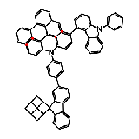 c1ccc(-c2cccc3cccc(-c4ccccc4N(c4ccc(-c5ccc6c(c5)C5(c7ccccc7-6)C6CC7CC8CC5C786)cc4)c4ccc(-c5cccc6c5c5ccccc5n6-c5ccccc5)cc4)c23)cc1